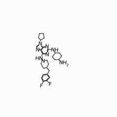 NC1CCC(Nc2nc(NN3CCC(Cc4ccc(F)c(F)c4)CC3)c3ncn(C4CCCC4)c3n2)CC1